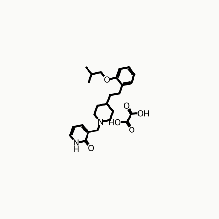 CC(C)COc1ccccc1CCC1CCN(Cc2ccc[nH]c2=O)CC1.O=C(O)C(=O)O